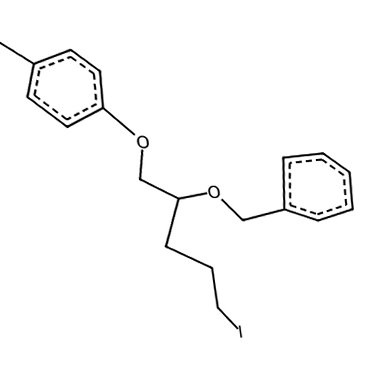 Cc1ccc(OCC(CCCI)OCc2ccccc2)cc1